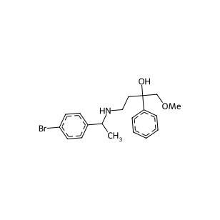 COCC(O)(CCNC(C)c1ccc(Br)cc1)c1ccccc1